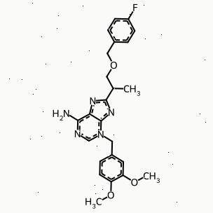 COc1ccc(Cn2cnc(N)c3nc(C(C)COCc4ccc(F)cc4)nc2-3)cc1OC